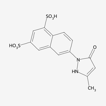 Cc1cc(=O)n(-c2ccc3c(S(=O)(=O)O)cc(S(=O)(=O)O)cc3c2)[nH]1